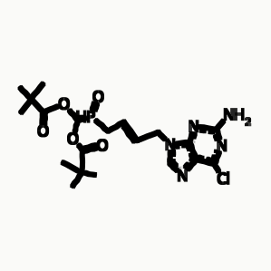 CC(C)(C)C(=O)OC(OC(=O)C(C)(C)C)[PH](=O)C/C=C/Cn1cnc2c(Cl)nc(N)nc21